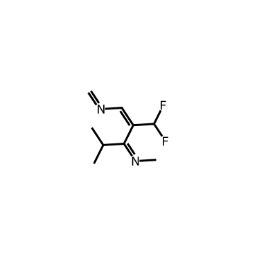 C=N/C=C(\C(=N/C)C(C)C)C(F)F